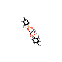 Cc1ccc(P2OCC3(CO2)COP(c2ccc(C)cc2C)OC3)c(C)c1